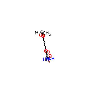 C=C(C)C(=O)OCCCCCCCCCCOC(=O)CCCC1NC(=S)NC1=O